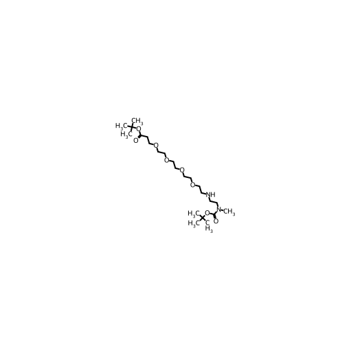 CN(CCNCCOCCOCCOCCOCCC(=O)OC(C)(C)C)C(=O)OC(C)(C)C